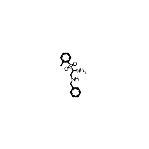 Cc1ccccc1S(=O)(=O)C(N)CNCc1ccccc1